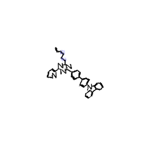 C=C/C=C\C=C\c1nc(-c2ccc(-c3ccc(-n4c5ccccc5c5ccccc54)cc3)cc2)nc(-c2ccccn2)n1